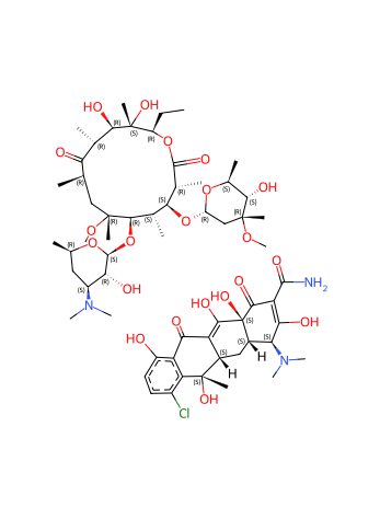 CC[C@H]1OC(=O)[C@H](C)[C@@H](O[C@H]2C[C@@](C)(OC)[C@@H](O)[C@H](C)O2)[C@H](C)[C@@H](O[C@@H]2O[C@H](C)C[C@H](N(C)C)[C@H]2O)[C@](C)(OC)C[C@@H](C)C(=O)[C@H](C)[C@@H](O)[C@]1(C)O.CN(C)[C@@H]1C(O)=C(C(N)=O)C(=O)[C@@]2(O)C(O)=C3C(=O)c4c(O)ccc(Cl)c4[C@@](C)(O)[C@H]3C[C@@H]12